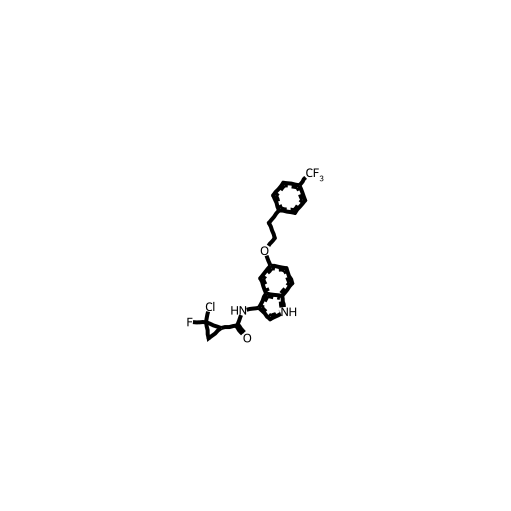 O=C(Nc1c[nH]c2ccc(OCCc3ccc(C(F)(F)F)cc3)cc12)C1CC1(F)Cl